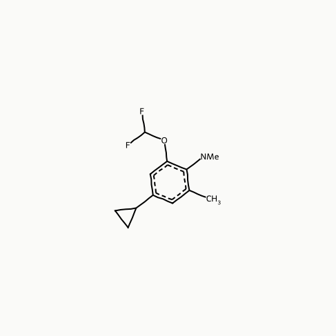 CNc1c(C)cc(C2CC2)cc1OC(F)F